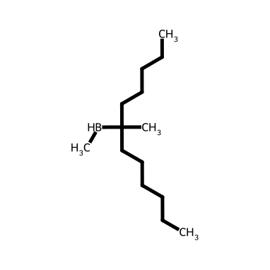 CBC(C)(CCCCC)CCCCCC